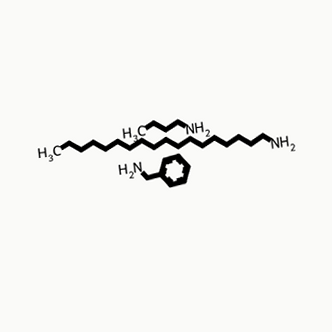 CCCCCCCCCCCCCCCCCCN.CCCCN.NCc1ccccc1